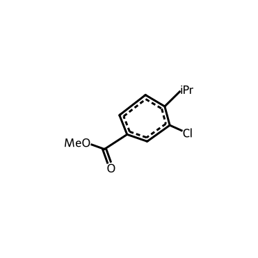 COC(=O)c1ccc(C(C)C)c(Cl)c1